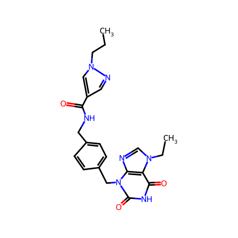 CCCn1cc(C(=O)NCc2ccc(Cn3c(=O)[nH]c(=O)c4c3ncn4CC)cc2)cn1